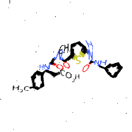 Cc1ccc(C(CC(=O)O)NC(=O)CN(C)C(=O)c2ccc(NC(=O)NCc3ccccc3)s2)cc1